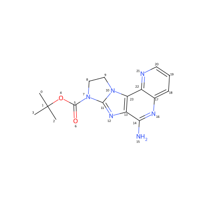 CC(C)(C)OC(=O)N1CCn2c1nc1c(N)nc3cccnc3c12